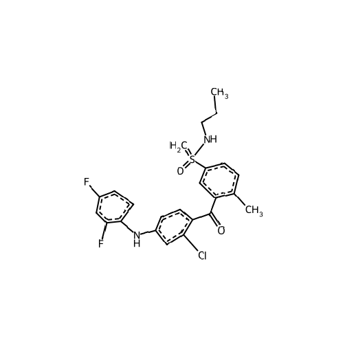 C=S(=O)(NCCC)c1ccc(C)c(C(=O)c2ccc(Nc3ccc(F)cc3F)cc2Cl)c1